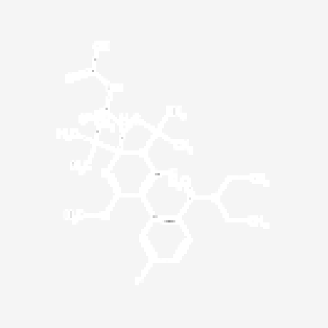 CCN(CC)C(=O)c1ccc(F)cc1C1=C(C)N(C(C)(C)C)C(OC(=O)NC(=O)O)(C(C)(C)C)N=C1OC